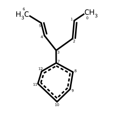 CC=CC(C=CC)c1ccccc1